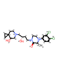 CC1C(=O)N(CC[C@H](O)CN2CCC3(CC3)[C@H](O)C2)CCN1c1ccc(Cl)c(Cl)c1